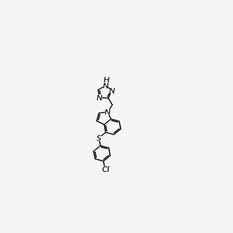 Clc1ccc(Sc2cccc3c2ccn3Cc2nc[nH]n2)cc1